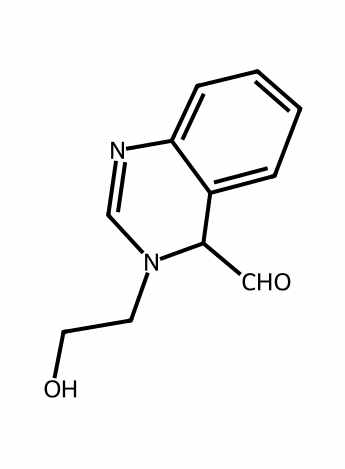 O=CC1c2ccccc2N=CN1CCO